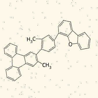 Cc1cc(-c2cccc3c2oc2ccccc23)ccc1-c1cc2c3ccccc3c3ccccc3c2cc1C